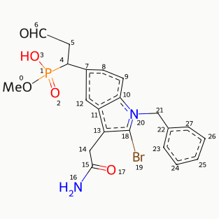 COP(=O)(O)C(CC=O)c1ccc2c(c1)c(CC(N)=O)c(Br)n2Cc1ccccc1